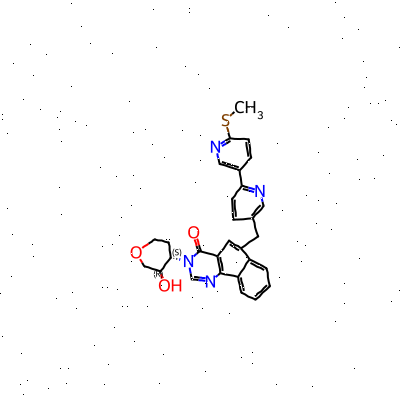 CSc1ccc(-c2ccc(Cc3cc4c(=O)n([C@H]5CCOC[C@@H]5O)cnc4c4ccccc34)cn2)cn1